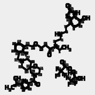 CCN(CCNCCc1ccc(O)c2[nH]c(=O)sc12)C(=O)CCOCCc1cccc(CN2CCC3(CC2)CN(C(=O)c2csc(C(C)C)n2)CCO3)c1F.O=C(O)C(F)(F)F.O=C(O)C(F)(F)F